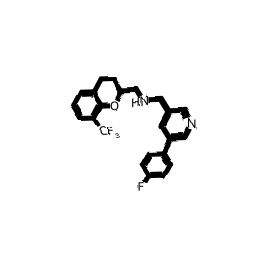 Fc1ccc(-c2cncc(CNCC3CCc4cccc(C(F)(F)F)c4O3)c2)cc1